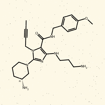 CC#CCn1c(N2CCC[C@@H](N)C2)nc(NCCCN)c1C(=O)NCc1ccc(OC)cc1